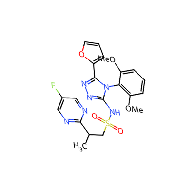 COc1cccc(OC)c1-n1c(NS(=O)(=O)CC(C)c2ncc(F)cn2)nnc1-c1ccco1